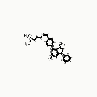 CN(C)CCC/N=C\c1ccc(-c2nc(Cl)nc3c2N(C)CN3c2ccccc2)cc1